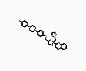 Cc1ccc(N2CCN(c3ccc(OCC4COC(Cn5nccn5)(c5cnc6ccccc6n5)O4)cc3)CC2)cc1